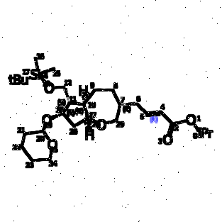 CC(C)OC(=O)/C=C/C[C@H]1CC[C@@H]2[C@@H](CO[Si](C)(C)C(C)(C)C)[C@H](OC3CCCCO3)C[C@@H]2OC1